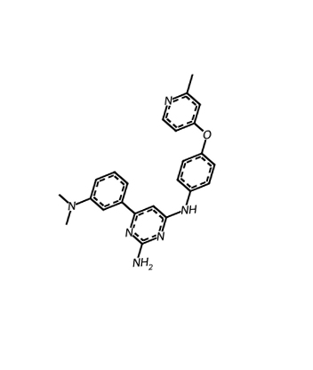 Cc1cc(Oc2ccc(Nc3cc(-c4cccc(N(C)C)c4)nc(N)n3)cc2)ccn1